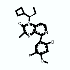 CC[C@H](C1CCC1)n1c(=O)c(C)nc2c(-c3cc(F)c(OC)cc3Cl)nccc21